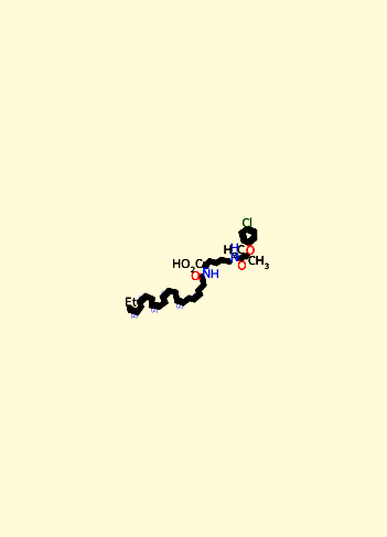 CC/C=C\C/C=C\C/C=C\C/C=C\C/C=C\C/C=C\CCC(=O)NC(CCCCNC(=O)C(C)(C)Oc1ccc(Cl)cc1)C(=O)O